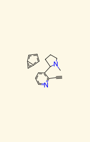 C#Cc1ncccc1C1CCCN1C.c1cc2cc-2c1